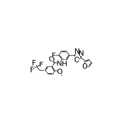 COc1ccc(CC(F)(F)F)cc1C(=O)Nc1cc(-c2nnc(-c3ccco3)o2)ccc1F